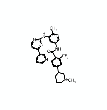 Cc1ncc(NC(=O)c2ccc(C3CCCN(C)C3)cc2C(F)(F)F)cc1Nc1nccc(-c2cccnc2)n1